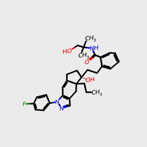 CCCC12Cc3cnn(-c4ccc(F)cc4)c3C=C1CC[C@@]2(O)CCc1ccccc1C(=O)NC(C)(C)CO